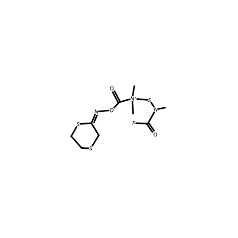 CN(S[N+](C)(C)C(=O)ON=C1CSCCS1)C(=O)F